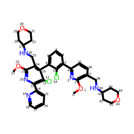 COc1nc(-c2cccc(-c3c(Cl)c(-c4ccccn4)nc(OC)c3CNC3CCOCC3)c2Cl)ccc1CNC1CCOCC1